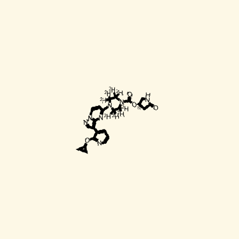 [2H]C1([2H])N(C(=O)O[C@@H]2CNC(=O)C2)C([2H])([2H])C([2H])([2H])N(c2ccn3ncc(-c4cccnc4OC4CC4)c3n2)C1([2H])[2H]